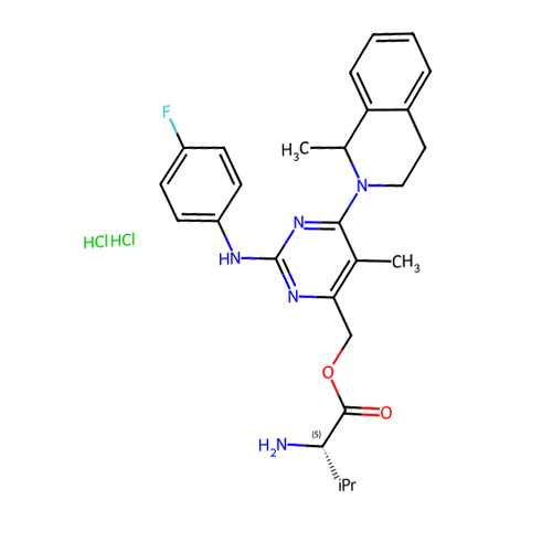 Cc1c(COC(=O)[C@@H](N)C(C)C)nc(Nc2ccc(F)cc2)nc1N1CCc2ccccc2C1C.Cl.Cl